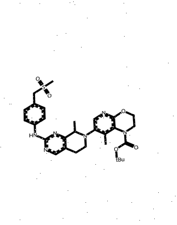 Cc1c(N2CCc3cnc(Nc4ccc(CS(C)(=O)=O)cc4)nc3C2C)cnc2c1N(C(=O)OC(C)(C)C)CCO2